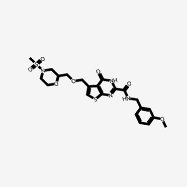 COc1cccc(CNC(=O)c2nc3scc(COCC4CN(S(C)(=O)=O)CCO4)c3c(=O)[nH]2)c1